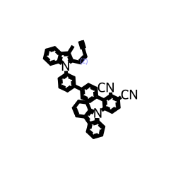 C#C/C=C\c1c(C)c2ccccc2n1-c1cccc(-c2ccc(-c3c(-n4c5c(c6ccccc64)C=CCC5)ccc(C#N)c3C#N)cc2)c1